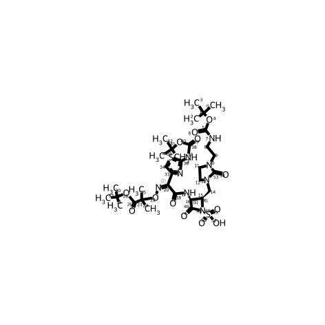 CC(C)(C)OC(=O)NCCN1CCN(C[C@@H]2[C@H](NC(=O)/C(=N\OC(C)(C)C(=O)OC(C)(C)C)c3csc(NC(=O)OC(C)(C)C)n3)C(=O)N2S(=O)(=O)O)C1=O